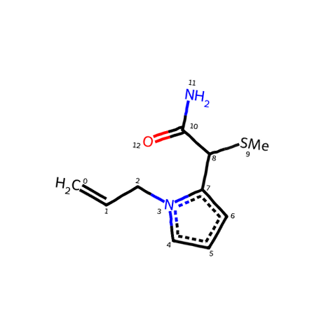 C=CCn1cccc1C(SC)C(N)=O